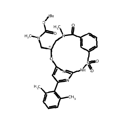 Cc1cccc(C)c1-c1cc2nc(n1)NS(=O)(=O)c1cccc(c1)C(=O)N(C)C[C@H](CN(C)C(=O)OC(C)(C)C)O2